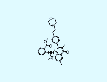 COC(=O)c1ccccc1N[C@H](C)c1cc(C)cc2c(=O)c(C)c(-c3ccc(CCN4CCOCC4)cc3)oc12